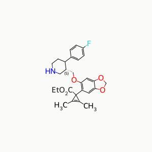 CCOC(=O)C1(c2cc3c(cc2OC[C@@H]2CNCCC2c2ccc(F)cc2)OCO3)C(C)=C1C